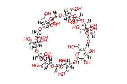 OCC1O[C@@H]2O[C@@H]3C(CO)O[C@H](O[C@@H]4C(CO)O[C@H](O[C@@H]5C(CO)O[C@H](O[C@@H]6C(CO)O[C@H](O[C@@H]7C(CO)O[C@H](O[C@@H]8C(CO)O[C@H](O[C@H]1C(O)[C@H]2O)C(O)[C@H]8O)C(O)[C@H]7O)C(O)[C@H]6O)C(O)[C@H]5O)C(O)[C@H]4O)C(O)[C@H]3O